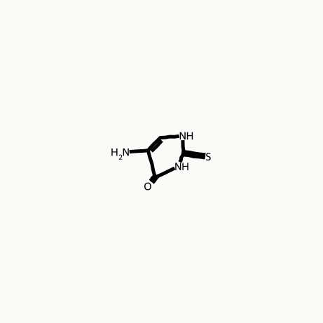 Nc1c[nH]c(=S)[nH]c1=O